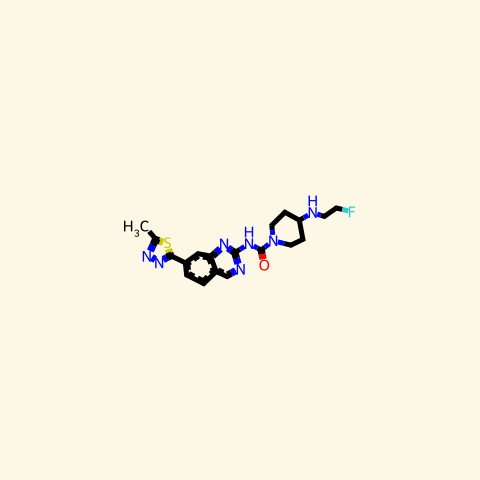 Cc1nnc(-c2ccc3cnc(NC(=O)N4CCC(NCCF)CC4)nc3c2)s1